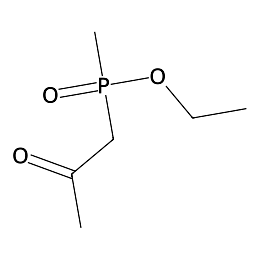 CCOP(C)(=O)CC(C)=O